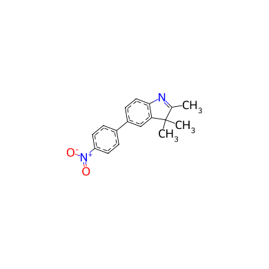 CC1=Nc2ccc(-c3ccc([N+](=O)[O-])cc3)cc2C1(C)C